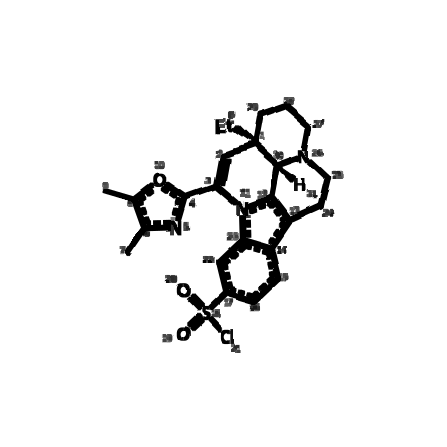 CC[C@@]12C=C(c3nc(C)c(C)o3)n3c4c(c5ccc(S(=O)(=O)Cl)cc53)CCN(CCC1)[C@H]42